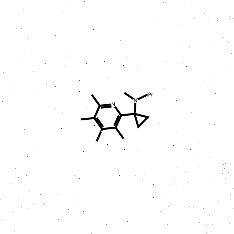 Cc1nc(C2(N(C)C(C)C)CC2)c(C)c(C)c1C